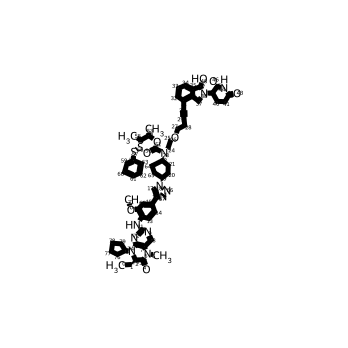 CC[C@@H]1C(=O)N(C)c2cnc(Nc3ccc(-c4cn([C@H]5CC[C@@H](N(CCOCCC#Cc6cccc7c6CN(C6CCC(=O)NC6=O)C7O)C(=O)OC(C)C(C)SSc6ccccc6)CC5)nn4)cc3OC)nc2N1C1CCCC1